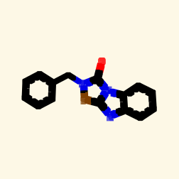 O=c1n(Cc2ccccc2)sc2nc3ccccc3n12